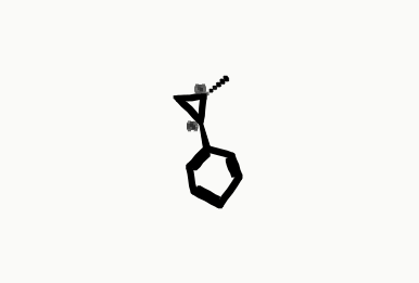 C[C@H]1C[C@@H]1c1ccccc1